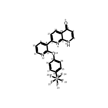 O=c1cc[nH]c2nc(-c3cccnc3Oc3ccc(S(F)(F)(F)(F)F)cc3)ccc12